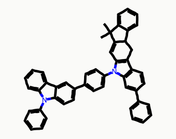 CC1(C)C2=Cc3c(c4ccc(-c5ccccc5)cc4n3-c3ccc(-c4ccc5c(c4)c4ccccc4n5-c4ccccc4)cc3)CC2c2ccccc21